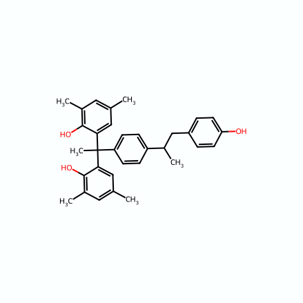 Cc1cc(C)c(O)c(C(C)(c2ccc(C(C)Cc3ccc(O)cc3)cc2)c2cc(C)cc(C)c2O)c1